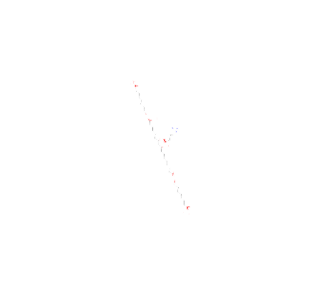 COC(=O)CCCCCCCCOC(=O)CCCCCCCC(CCCCCCCC(=O)OCCCCCCCCC(=O)OC)OC(=O)CCCN(C)C